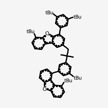 CC(C)(C)c1cc(-c2cc(CC(C)(C)c3cc(-c4cccc5oc6cccc(C(C)(C)C)c6c45)cc(C(C)(C)C)c3)cc3c2oc2c(C(C)(C)C)cccc23)cc(C(C)(C)C)c1